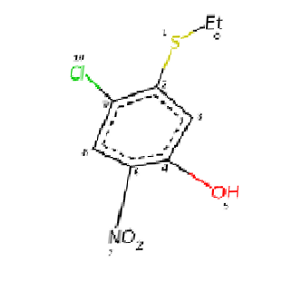 CCSc1cc(O)c([N+](=O)[O-])cc1Cl